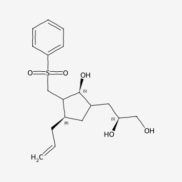 C=CC[C@@H]1CC(C[C@H](O)CO)[C@H](O)C1CS(=O)(=O)c1ccccc1